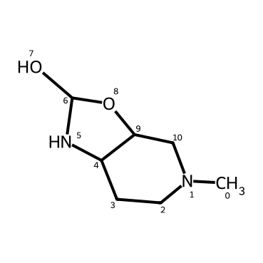 CN1CCC2NC(O)OC2C1